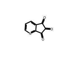 O=c1c(=O)c2cccnc2c1=O